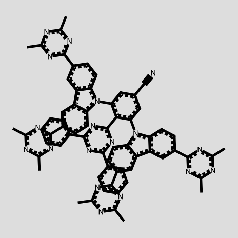 Cc1nc(C)nc(-c2ccc3c(c2)c2cc(-c4nc(C)nc(C)n4)ccc2n3-c2cc(C#N)cc(-n3c4ccc(-c5nc(C)nc(C)n5)cc4c4cc(-c5nc(C)nc(C)n5)ccc43)c2-c2nc(-c3ccccc3)nc(-c3ccccc3)n2)n1